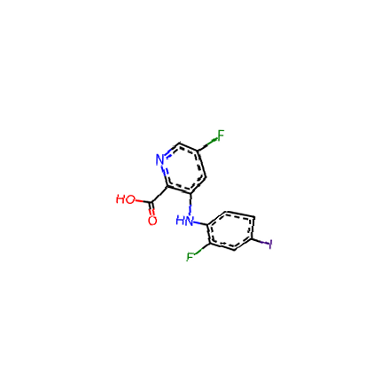 O=C(O)c1ncc(F)cc1Nc1ccc(I)cc1F